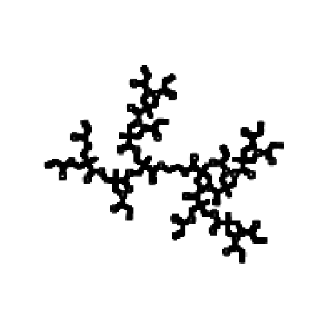 C=CC(=O)OCC(C)(COC(=O)C=C)C(=O)OCC(C)(COC(=O)C=C)C(=O)OCC(C)(COC(=O)C(C)(COC(=O)C=C)COC(=O)C(C)(COC(=O)C=C)COC(=O)C=C)C(=O)OCCOC(=O)C(C)(COC(=O)C(C)(COC(=O)C=C)COC(=O)C(C)(COC(=O)C=C)COC(=O)C=C)COC(=O)C(C)(COC(=O)C=C)COC(=O)C(C)(COC(=O)C=C)COC(=O)C=C